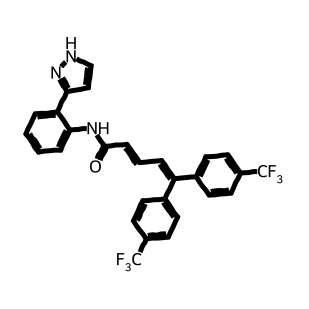 O=C(/C=C/C=C(c1ccc(C(F)(F)F)cc1)c1ccc(C(F)(F)F)cc1)Nc1ccccc1-c1cc[nH]n1